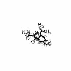 CC(C)n1nc(C(N)=O)c(=O)c2cc3c(cc21)OCO3